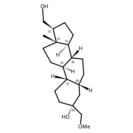 COC[C@@]1(O)CC[C@H]2[C@H](CC[C@@H]3[C@@H]2CC[C@]2(C)[C@@H](CO)CC[C@@H]32)C1